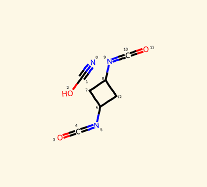 N#CO.O=C=NC1CC(N=C=O)C1